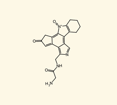 NCC(=O)NCC1=c2c(c3c(c4c2=CC(=O)C4)[N+](=O)C2=C3CCCC2)C=N1